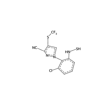 N#Cc1nn(-c2c(Cl)cccc2NS)cc1SC(F)(F)F